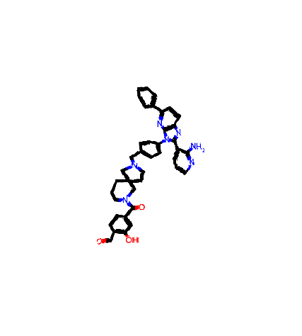 Nc1ncccc1-c1nc2ccc(-c3ccccc3)nc2n1-c1ccc(CN2CCC3(CCCN(C(=O)c4ccc(C=O)c(O)c4)C3)C2)cc1